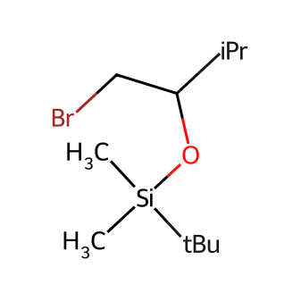 CC(C)C(CBr)O[Si](C)(C)C(C)(C)C